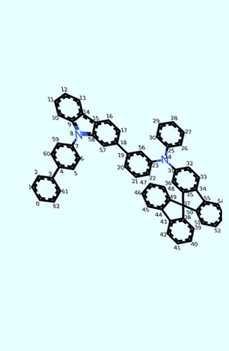 c1ccc(-c2ccc(-n3c4ccccc4c4ccc(-c5cccc(N(c6ccccc6)c6ccc7c(c6)C6(c8ccccc8-c8ccccc86)c6ccccc6-7)c5)cc43)cc2)cc1